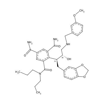 CCCN(CCC)C(=O)c1cc(C(N)=O)cc(C(N)=O)c1[C@H](Cc1ccc2c(c1)OCO2)[C@@H](O)CNCc1cccc(OC)c1